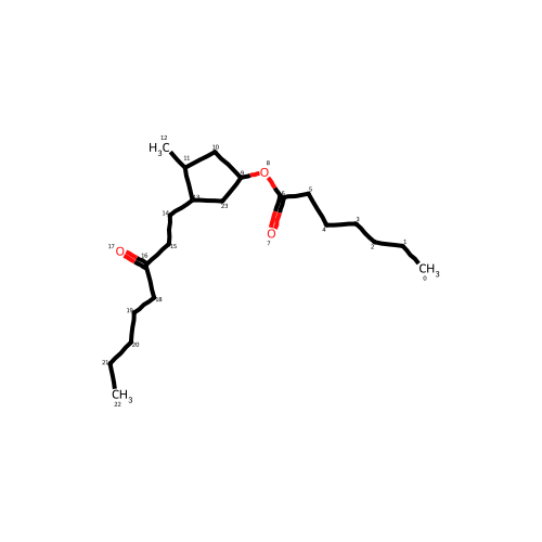 CCCCCCC(=O)OC1CC(C)C(CCC(=O)CCCCC)C1